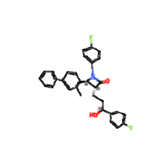 Cc1cc(-c2ccccc2)ccc1[C@@H]1[C@@H](CC[C@H](O)c2ccc(F)cc2)C(=O)N1c1ccc(F)cc1